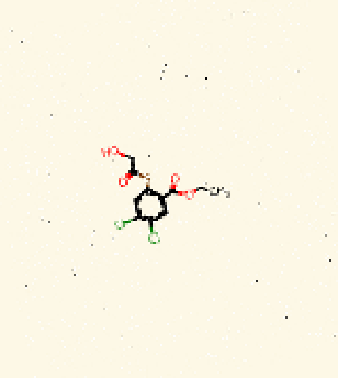 CCOC(=O)c1cc(Cl)c(Cl)cc1SC(=O)CO